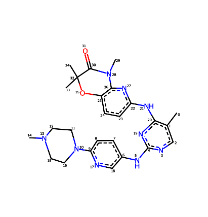 Cc1cnc(Nc2ccc(N3CCN(C)CC3)nc2)nc1Nc1ccc2c(n1)N(C)C(=O)C(C)(C)O2